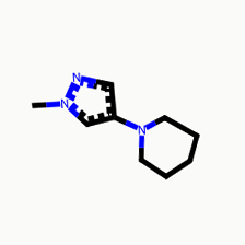 Cn1cc(N2C[CH]CCC2)cn1